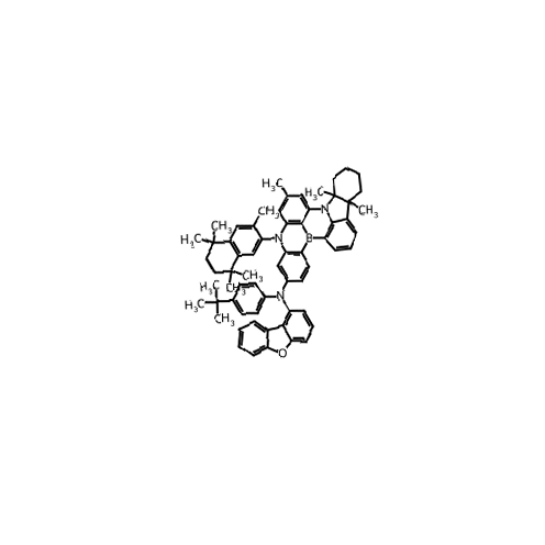 Cc1cc2c3c(c1)N1c4c(cccc4C4(C)CCCCC14C)B3c1ccc(N(c3ccc(C(C)(C)C)cc3)c3cccc4oc5ccccc5c34)cc1N2c1cc2c(cc1C)C(C)(C)CCC2(C)C